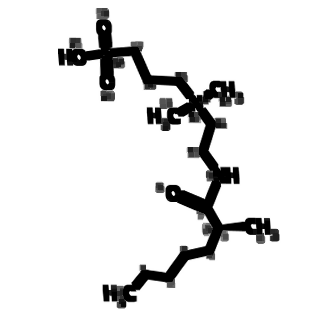 CCCCC[C@H](C)C(=O)NCC[N+](C)(C)CCCS(=O)(=O)O